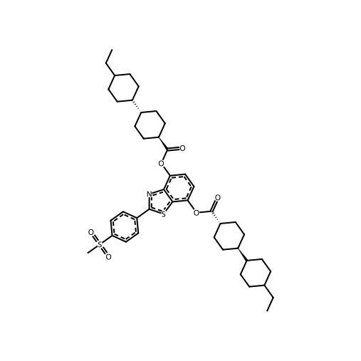 CCC1CCC([C@H]2CC[C@H](C(=O)Oc3ccc(OC(=O)[C@H]4CC[C@H](C5CCC(CC)CC5)CC4)c4sc(-c5ccc(S(C)(=O)=O)cc5)nc34)CC2)CC1